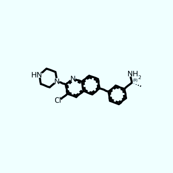 C[C@@H](N)c1cccc(-c2ccc3nc(N4CCNCC4)c(Cl)cc3c2)c1